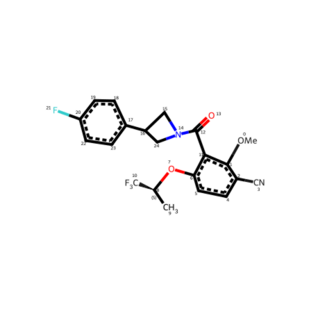 COc1c(C#N)ccc(O[C@@H](C)C(F)(F)F)c1C(=O)N1CC(c2ccc(F)cc2)C1